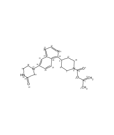 C=C(C)OC(=O)N1CCC(c2ncnc3cc(N4CCNC(=O)C4)ccc23)CC1